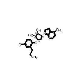 Cc1ccnc2c1ccn2[C@@H]1C[C@H](Oc2ccc(Cl)cc2CCN)[C@@H](O)[C@H]1O